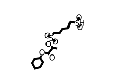 CC(OS(=O)(=O)CCCCC[SH](=O)=O)C(=O)OC1CCCCC1